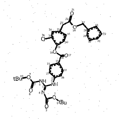 CC(C)(C)OC(=O)N=C(NC(=O)OC(C)(C)C)Nc1ccc(C(=O)Oc2ccc(CC(=O)OCc3ccccc3)cc2Cl)cc1